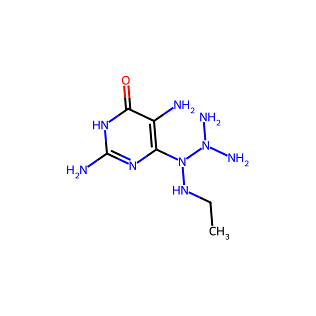 CCNN(c1nc(N)[nH]c(=O)c1N)N(N)N